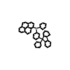 c1ccc(N(c2cccc(C3(c4ccccc4)c4ccccc4-c4ccccc43)c2)c2ccc3ccc4cccc5ccc2c3c45)cc1